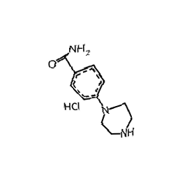 Cl.NC(=O)c1ccc(N2CCNCC2)cc1